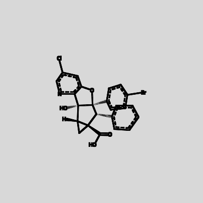 O=C(O)[C@@]12C[C@@H]1[C@@]1(O)c3ncc(Cl)cc3O[C@@]1(c1ccc(Br)cc1)[C@@H]2c1ccccc1